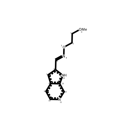 COCCON=Cc1cc2ccncc2[nH]1